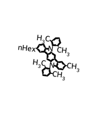 CCCCCCc1ccc2c(c1)c1cc3c(cc1n2-c1c(C)cccc1C)c1cc(C)ccc1n3-c1c(C)cccc1C